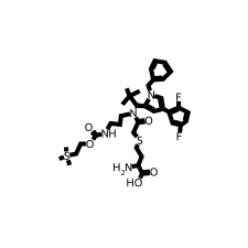 CC(C)(C)[C@H](c1cc(-c2cc(F)ccc2F)cn1Cc1ccccc1)N(CCCNC(=O)OCCS(C)(C)C)C(=O)CSCCC(N)C(=O)O